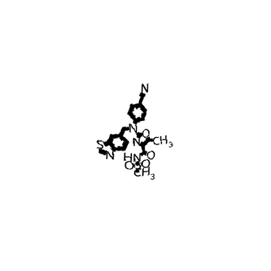 Cc1oc(N(Cc2ccc3ncsc3c2)c2ccc(C#N)cc2)nc1C(=O)NS(C)(=O)=O